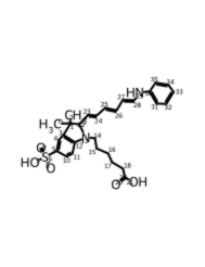 CC1(C)c2cc(S(=O)(=O)O)ccc2N(CCCCCC(=O)O)C1C=CC=CC=CNc1ccccc1